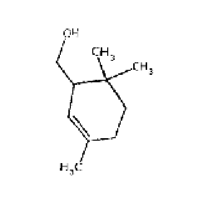 CC1=CC(CO)C(C)(C)CC1